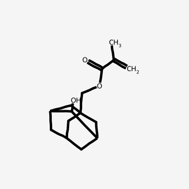 C=C(C)C(=O)OCC12CC3CC(C1)C(O)C(C3)C2